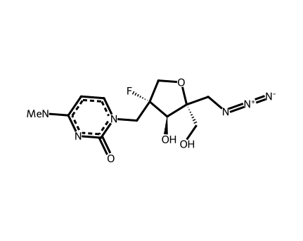 CNc1ccn(C[C@@]2(F)CO[C@@](CO)(CN=[N+]=[N-])[C@H]2O)c(=O)n1